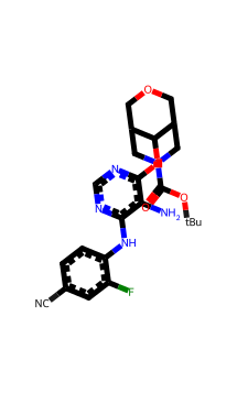 CC(C)(C)OC(=O)N1CC2COCC(C1)C2Oc1ncnc(Nc2ccc(C#N)cc2F)c1N